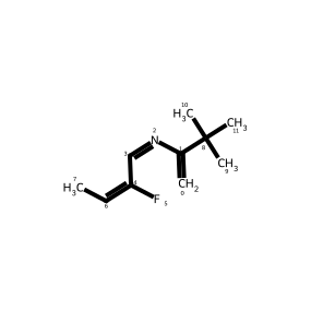 C=C(/N=C\C(F)=C/C)C(C)(C)C